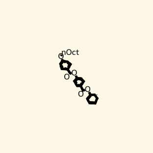 CCCCCCCCOc1ccc(C(=O)Oc2ccc(C(=O)OC3=CC=CC[CH]3)cc2)cc1